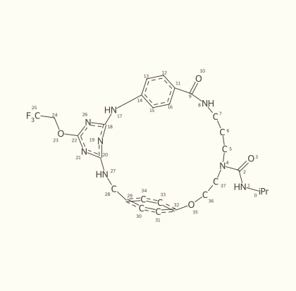 CC(C)NC(=O)N1CCCNC(=O)c2ccc(cc2)Nc2nc(nc(OCC(F)(F)F)n2)NCc2ccc(cc2)OCC1